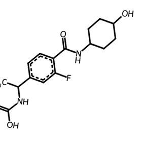 CC(NC(=O)O)c1ccc(C(=O)NC2CCC(O)CC2)c(F)c1